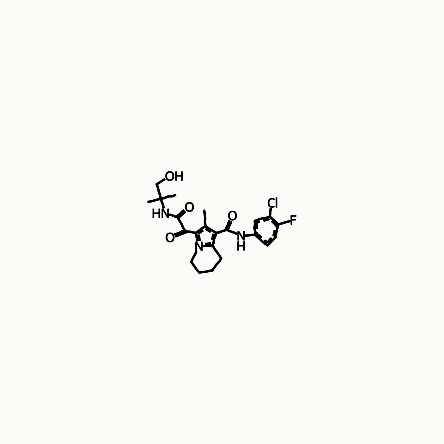 Cc1c(C(=O)Nc2ccc(F)c(Cl)c2)c2n(c1C(=O)C(=O)NC(C)(C)CO)CCCC2